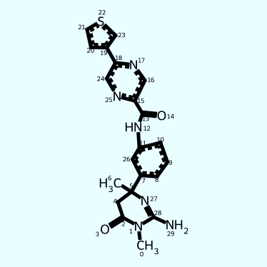 CN1C(=O)CC(C)(c2cccc(NC(=O)c3cnc(-c4ccsc4)cn3)c2)N=C1N